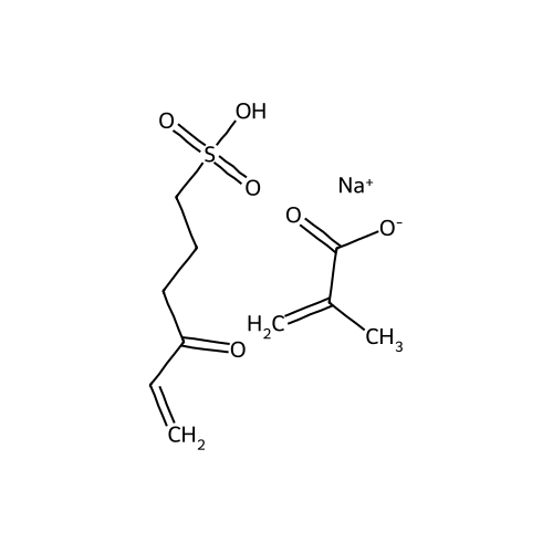 C=C(C)C(=O)[O-].C=CC(=O)CCCS(=O)(=O)O.[Na+]